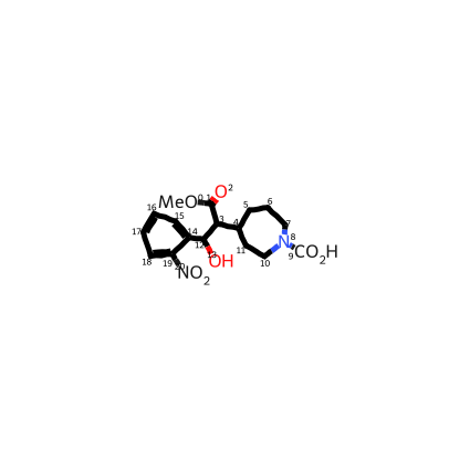 COC(=O)C(C1CCCN(C(=O)O)CC1)C(O)c1ccccc1[N+](=O)[O-]